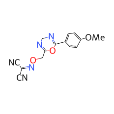 COc1ccc(C2=NCN=C(CON=C(C#N)C#N)O2)cc1